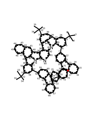 CC(C)(C)c1cc(-c2ccc3c(c2)c2ccccc2n3-c2ccccc2)c2c(c1)c1cc(C(C)(C)C)cc3c4c5c6cc7ccccc7c7c8cc(C(C)(C)C)cc(-c9ccc%10c(c9)c9ccccc9n%10-c9ccccc9)c8n(c5ncc4n2c13)c67